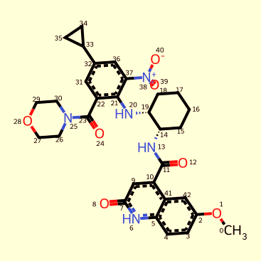 COc1ccc2[nH]c(=O)cc(C(=O)N[C@H]3CCCC[C@H]3Nc3c(C(=O)N4CCOCC4)cc(C4CC4)cc3[N+](=O)[O-])c2c1